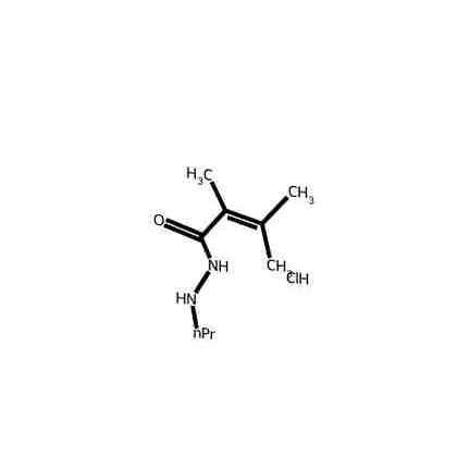 CCCNNC(=O)C(C)=C(C)C.Cl